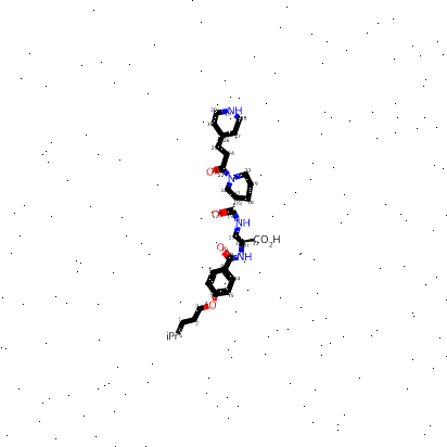 CC(C)CCCOc1ccc(C(=O)N[C@@H](CNC(=O)[C@H]2CCCN(C(=O)CCC3CCNCC3)C2)C(=O)O)cc1